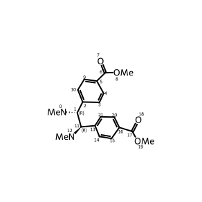 CN[C@H](c1ccc(C(=O)OC)cc1)[C@H](NC)c1ccc(C(=O)OC)cc1